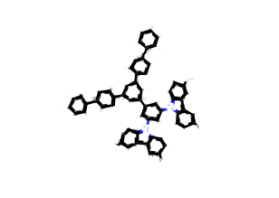 Cc1ccc2c(c1)c1cc(C)ccc1n2-c1cc(-c2cc(-c3ccc(-c4ccccc4)cc3)cc(-c3ccc(-c4ccccc4)cc3)c2)cc(-n2c3ccc(C)cc3c3cc(C)ccc32)c1